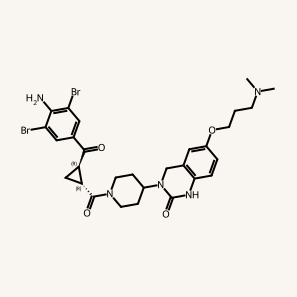 CN(C)CCCOc1ccc2c(c1)CN(C1CCN(C(=O)[C@@H]3C[C@H]3C(=O)c3cc(Br)c(N)c(Br)c3)CC1)C(=O)N2